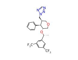 C[C@@H](O[C@H]1COC[C@H](Cn2ncnn2)[C@@H]1c1ccccc1)c1cc(C(F)(F)F)cc(C(F)(F)F)c1